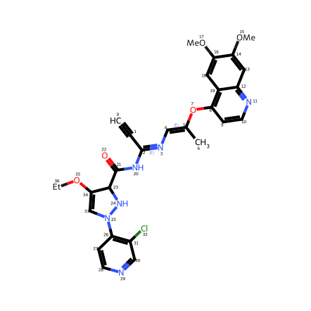 C#C/C(=N\C=C(/C)Oc1ccnc2cc(OC)c(OC)cc12)NC(=O)C1NN(c2ccncc2Cl)C=C1OCC